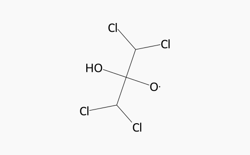 [O]C(O)(C(Cl)Cl)C(Cl)Cl